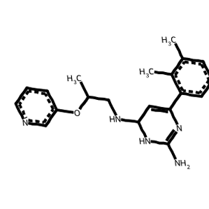 Cc1cccc(C2=CC(NCC(C)Oc3cccnc3)NC(N)=N2)c1C